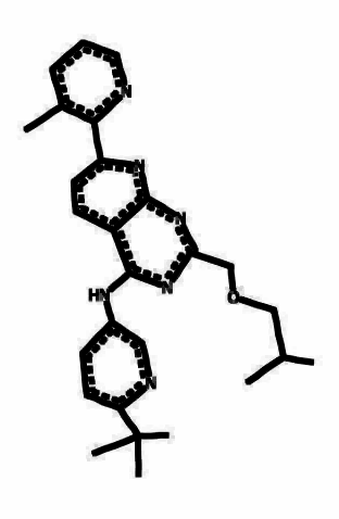 Cc1cccnc1-c1ccc2c(Nc3ccc(C(C)(C)C)nc3)nc(COCC(C)C)nc2n1